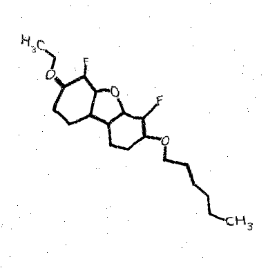 CCCCCCOC1CCC2C3CCC(OCC)C(F)C3OC2C1F